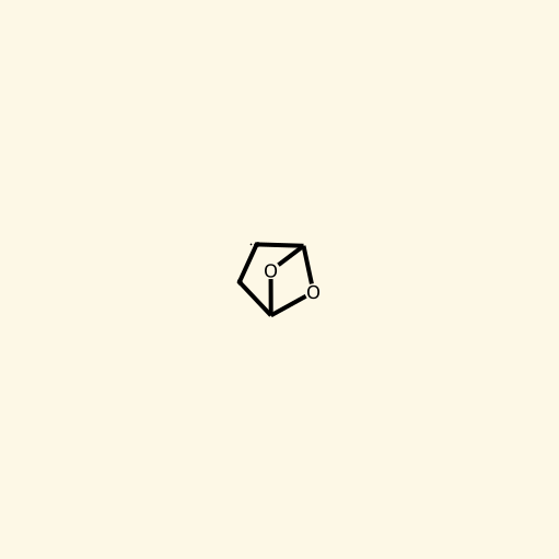 [CH]1CC2OC1O2